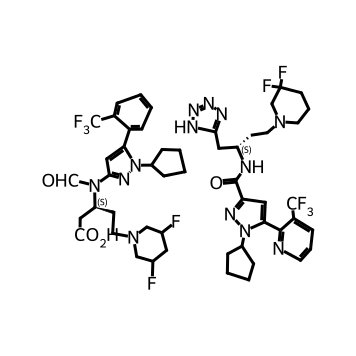 O=C(N[C@@H](CCN1CCCC(F)(F)C1)Cc1nnn[nH]1)c1cc(-c2ncccc2C(F)(F)F)n(C2CCCC2)n1.O=CN(c1cc(-c2ccccc2C(F)(F)F)n(C2CCCC2)n1)[C@@H](CCN1CC(F)CC(F)C1)CC(=O)O